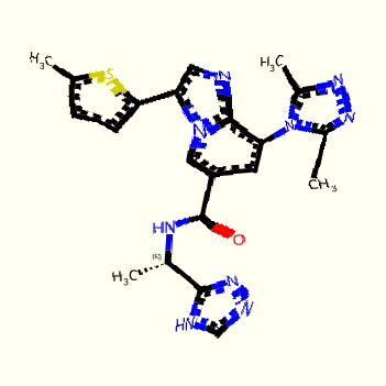 Cc1ccc(-c2cnc3c(-n4c(C)nnc4C)cc(C(=O)N[C@@H](C)c4nnc[nH]4)cn23)s1